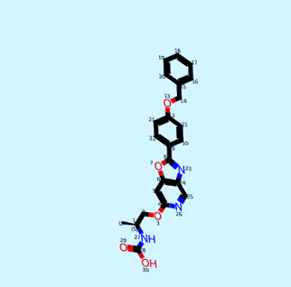 C[C@@H](COc1cc2oc(-c3ccc(OCc4ccccc4)cc3)nc2cn1)NC(=O)O